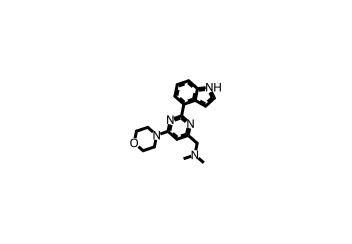 CN(C)Cc1cc(N2CCOCC2)nc(-c2cccc3[nH]ccc23)n1